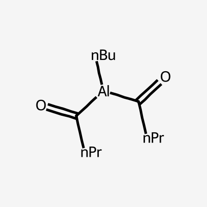 CCC[CH2][Al]([C](=O)CCC)[C](=O)CCC